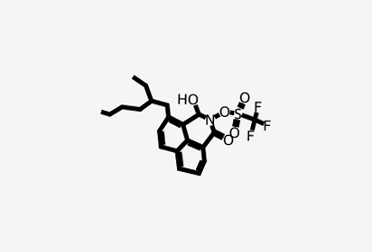 CCCCC(CC)Cc1ccc2cccc3c2c1C(O)N(OS(=O)(=O)C(F)(F)F)C3=O